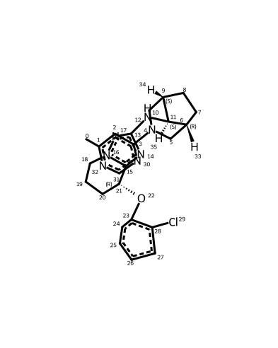 Cc1cc(N2C[C@H]3CC[C@@H](C2)[C@@H]3Nc2nc3n(n2)CCC[C@H]3Oc2ccccc2Cl)ncn1